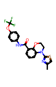 Cc1csc(N2CCOc3c(C(=O)Nc4ccc(OC(F)(F)F)cc4)cccc32)n1